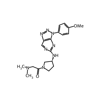 COc1ccc(-n2nnc3cnc(N[C@H]4CCN(C(=O)CN(C)C)C4)nc32)cc1